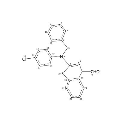 O=CC1N=C(N(Cc2ccccc2)c2ccc(Cl)cc2)Sc2ncccc21